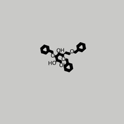 OC[C@@H](O)C(OCc1ccccc1)C(O)[C@@H](CCOCc1ccccc1)OCc1ccccc1